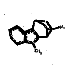 Cn1c2c(c3ccccc31)C1CCC2C(N)C1